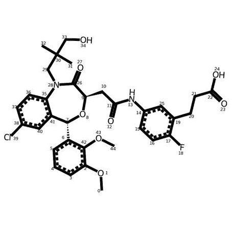 COc1cccc([C@H]2O[C@H](CC(=O)Nc3ccc(F)c(CCC(=O)O)c3)C(=O)N(CC(C)(C)CO)c3ccc(Cl)cc32)c1OC